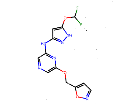 FC(F)Oc1cc(Nc2cncc(OCc3ccno3)n2)n[nH]1